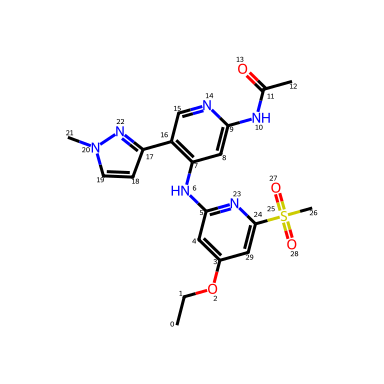 CCOc1cc(Nc2cc(NC(C)=O)ncc2-c2ccn(C)n2)nc(S(C)(=O)=O)c1